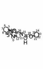 CN(c1nc2ccccc2s1)[C@@H]1CCN(CC(O)COc2ccccc2)C[C@@H]1O